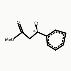 CC[C@H](CC(=O)OC)c1ccccc1